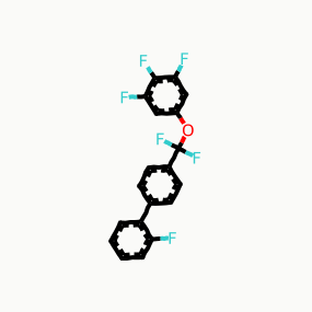 Fc1ccccc1-c1ccc(C(F)(F)Oc2cc(F)c(F)c(F)c2)cc1